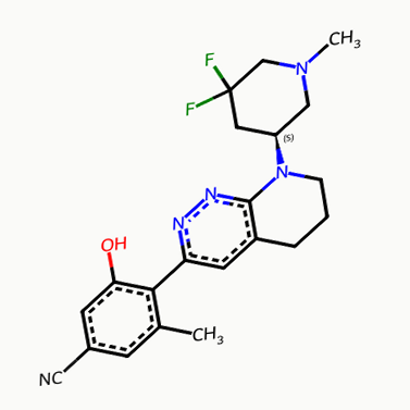 Cc1cc(C#N)cc(O)c1-c1cc2c(nn1)N([C@@H]1CN(C)CC(F)(F)C1)CCC2